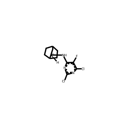 Fc1c(Cl)nc(Cl)nc1N[C@H]1CC2CCC1CC2